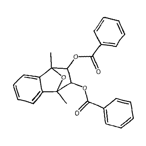 CC12OC(C)(c3ccccc31)C(OC(=O)c1ccccc1)C2OC(=O)c1ccccc1